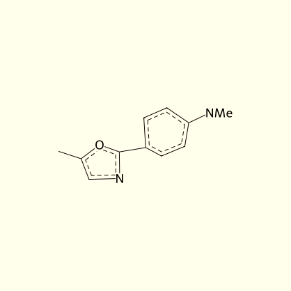 CNc1ccc(-c2ncc(C)o2)cc1